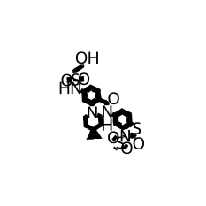 CS(=O)(=O)n1c(=O)sc2ccc(NC(=O)c3ccc(NS(=O)(=O)CCO)cc3N3CCC4(CC3)CC4)cc21